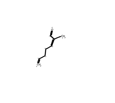 C=CCCC=C(C)C=O